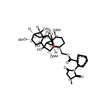 CCN1C[C@]2(COC(=O)c3ccccc3N3C(=O)C[C@H](C)C3=O)CC[C@H](OC)C34C1C(O)([C@@H](OC)[C@@H]32)[C@@]1(O)C[C@H](OC)[C@@H]2C[C@H]4[C@@H]1[C@H]2OC(C)=O